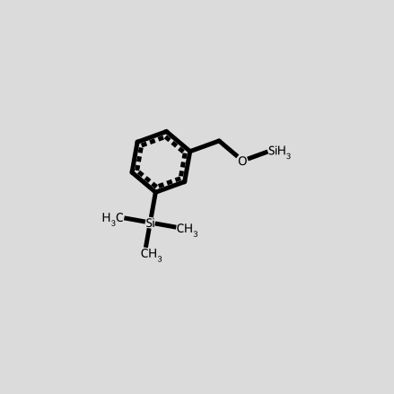 C[Si](C)(C)c1cccc(CO[SiH3])c1